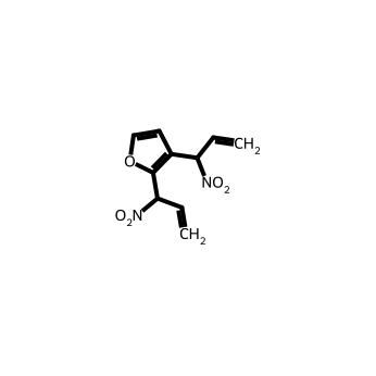 C=CC(c1ccoc1C(C=C)[N+](=O)[O-])[N+](=O)[O-]